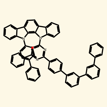 c1ccc(-c2ccc(-n3c4ccccc4c4ccc5c6ccccc6n(-c6nc(-c7ccccc7)nc(-c7ccc(-c8cccc(-c9cccc(-c%10ccccc%10)c9)c8)cc7)n6)c5c43)cc2)cc1